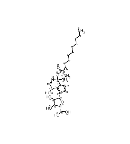 NCCCCCCCCOP(N)(=O)OC1(N)N=CN(O)c2c1ncn2[C@@H]1O[C@H](C(O)O)[C@@H](O)[C@H]1O